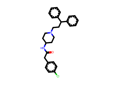 O=C(Cc1ccc(Cl)cc1)NC1CCN(CCC(c2ccccc2)c2ccccc2)CC1